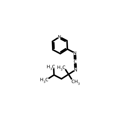 CC(C)CC(C)(C)N=C=Nc1cccnc1